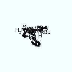 CC(C)(C)[C@H](NC(=O)N[C@H](C(=O)N1C[C@H](OC(=O)N2CCc3ccccc3C2)C[C@H]1C(=O)NC(CC1CCC1)C(=O)C(N)=O)C(C)(C)C)C(=O)C1CC1